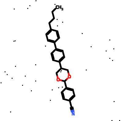 CCCCc1ccc(-c2ccc(C3COC(c4ccc(C#N)cc4)OC3)cc2)cc1